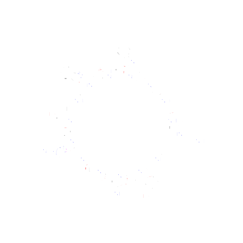 CCCC[C@H]1C(=O)N(C)[C@@H](CCCC)C(=O)N[C@@H](C)C(=O)N[C@H](C(=O)NCC(N)=O)CSCC(=O)NC(Cc2ccc(O)cc2)C(=O)N(C)[C@@H](C)C(=O)N[C@@H](CC(N)=O)C(=O)N2CCC[C@H]2C(=O)N[C@@H](Cc2c[nH]cn2)C(=O)N[C@@H](CCCCN)C(=O)N2C[C@H](O)C[C@H]2C(=O)N[C@@H](Cc2c[nH]c3ccccc23)C(=O)N[C@@H](CO)C(=O)N[C@@H](Cc2c[nH]c3ccccc23)C(=O)N1C